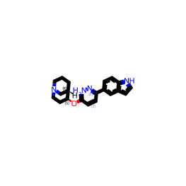 C=C(/C=C\C(=N/N)c1ccc2[nH]ccc2c1)O[C@H]1CCN2CCC[C@@H]1C2